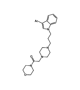 CC(=O)c1cn(CCCN2CCN(CC(=O)N3CCOCC3)CC2)c2ccccc12